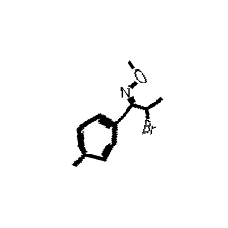 CON=C(c1ccc(C)cc1)C(C)Br